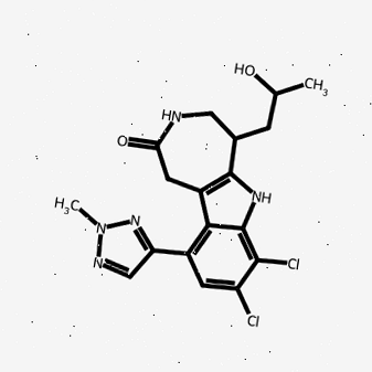 CC(O)CC1CNC(=O)Cc2c1[nH]c1c(Cl)c(Cl)cc(-c3cnn(C)n3)c21